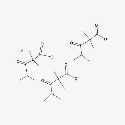 CC(C)C(=O)C(C)(C)C(=O)[O-].CC(C)C(=O)C(C)(C)C(=O)[O-].CC(C)C(=O)C(C)(C)C(=O)[O-].[In+3]